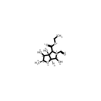 CCOC(=O)C1N(C=O)C(O)[C@H]2O[C@@H](C)C(O)[C@]12O